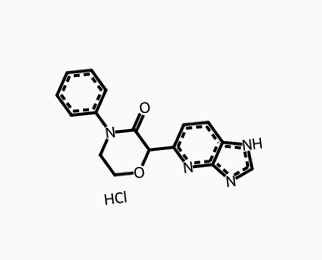 Cl.O=C1C(c2ccc3[nH]cnc3n2)OCCN1c1ccccc1